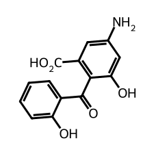 Nc1cc(O)c(C(=O)c2ccccc2O)c(C(=O)O)c1